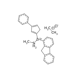 CC.C[SiH2][Zr+2]([C]1=CC(c2ccccc2)=CC1)[c]1cccc2c1Cc1ccccc1-2.[Cl-].[Cl-]